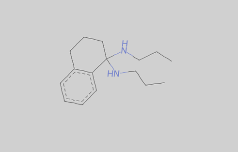 CCCNC1(NCCC)CCCc2ccccc21